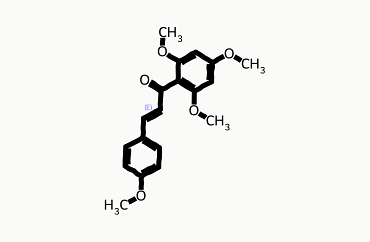 COc1ccc(/C=C/C(=O)c2c(OC)cc(OC)cc2OC)cc1